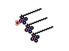 CCCCCCCCCCCCCCCCc1cc([N+](c2ccccc2)(c2ccccc2)c2ccccc2)c(C)c(C)c1C.CCCCCCCCCCCCCCCCc1cc([N+](c2ccccc2)(c2ccccc2)c2ccccc2)c(C)c(C)c1C.CCCCCCCCCCCCCCCCc1cc([N+](c2ccccc2)(c2ccccc2)c2ccccc2)c(C)c(C)c1C.[O-]B([O-])[O-]